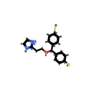 Fc1ccc(C(OCCc2ncc[nH]2)c2ccc(F)cc2)cc1